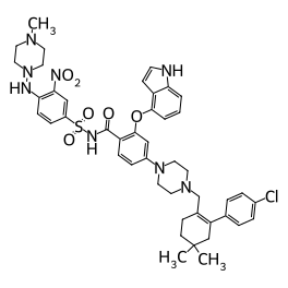 CN1CCN(Nc2ccc(S(=O)(=O)NC(=O)c3ccc(N4CCN(CC5=C(c6ccc(Cl)cc6)CC(C)(C)CC5)CC4)cc3Oc3cccc4[nH]ccc34)cc2[N+](=O)[O-])CC1